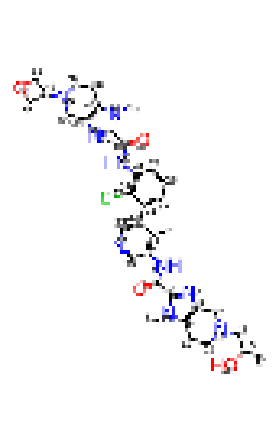 Cc1c(NC(=O)c2nc3c(n2C)CCN(CC(C)O)C3)cncc1-c1cccc(NC(=O)c2nc3c(n2C)CCN(C2COC2)C3)c1Cl